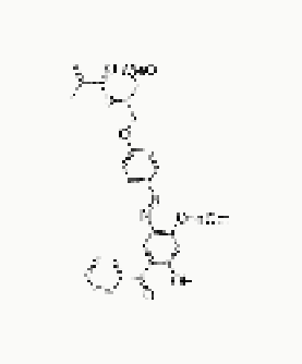 C=C(C)C(=O)OC(COC)COc1ccc(N=Nc2cc(C(=O)c3ccccc3)c(O)cc2OCCCCCCCC)cc1